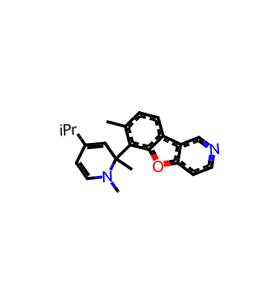 Cc1ccc2c(oc3ccncc32)c1C1(C)C=C(C(C)C)C=CN1C